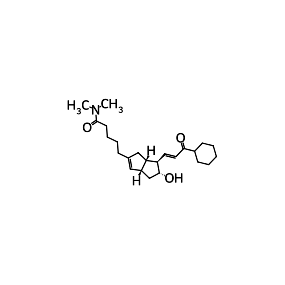 CN(C)C(=O)CCCCC1=C[C@H]2C[C@@H](O)[C@H](/C=C/C(=O)C3CCCCC3)[C@H]2C1